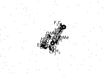 CC(C)OC(=O)c1cc(-n2c(=O)cc(C(F)(F)F)n(C)c2=O)ccc1Cl.CCS(=O)(=O)c1cccnc1S(=O)(=O)NC(=O)Nc1nc(OC)cc(OC)n1.COc1nc(C)nc(NC(=O)NS(=O)(=O)c2ccccc2CCC(F)(F)F)n1